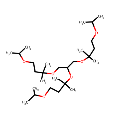 CC(C)OCCC(C)(C)OCC(COC(C)(C)CCOC(C)C)OC(C)(C)CCOC(C)C